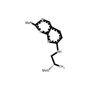 CNc1ncc2ccc(NC[C@H](C)OC)nc2n1